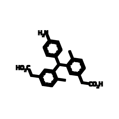 Cc1ccc(CC(=O)O)cc1C(c1ccc(N)cc1)c1cc(CC(=O)O)ccc1C